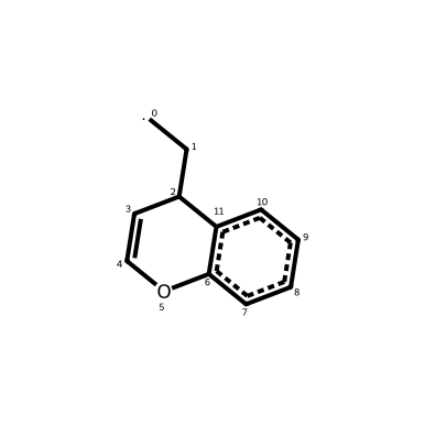 [CH2]CC1C=COc2ccccc21